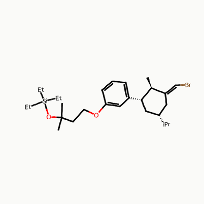 CC[Si](CC)(CC)OC(C)(C)CCOc1cccc([C@H]2C[C@@H](C(C)C)C/C(=C\Br)[C@@H]2C)c1